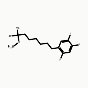 OC(O)(CCCCCCc1cc(F)c(F)cc1F)O[SiH3]